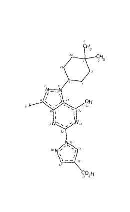 CC1(C)CCC(n2nc(F)c3nc(-n4cc(C(=O)O)cn4)nc(O)c32)CC1